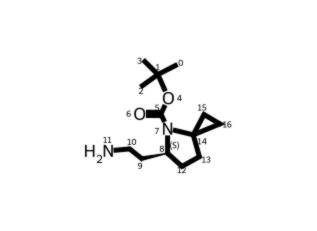 CC(C)(C)OC(=O)N1[C@H](CCN)CCC12CC2